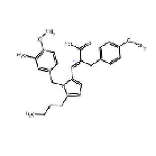 CCCCc1ncc(/C=C(\Cc2ccc(OC)cc2)C(=O)O)n1Cc1ccc(OC)c(C)c1